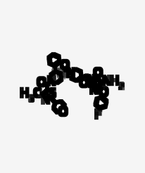 Cc1nc(C2CCOCC2)sc1C(=O)N1CC[C@@H](C(=O)N2CCC(O)(Cn3cnc(Oc4ccc(F)cc4)c(N)c3=O)CC2)[C@H](c2ccccc2)C1